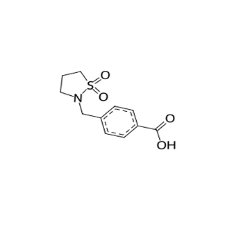 O=C(O)c1ccc(CN2CCCS2(=O)=O)cc1